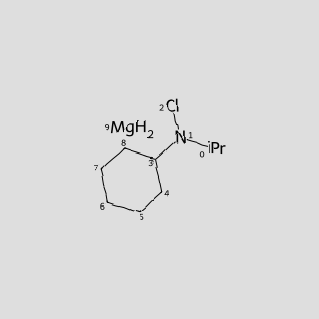 CC(C)N(Cl)C1CCCCC1.[MgH2]